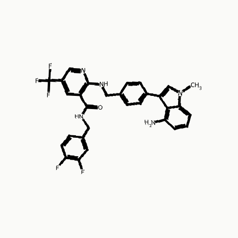 Cn1cc(-c2ccc(CNc3ncc(C(F)(F)F)cc3C(=O)NCc3ccc(F)c(F)c3)cc2)c2c(N)cccc21